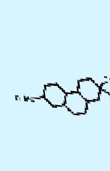 CCCCCCC1CCC2C(CCC3CC(C#N)(CCC)CCC32)C1